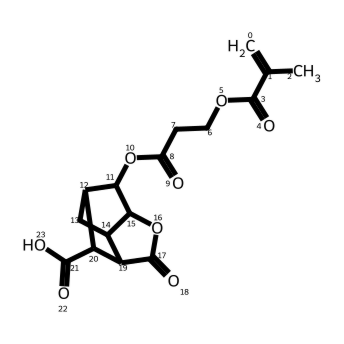 C=C(C)C(=O)OCCC(=O)OC1C2CC3C1OC(=O)C3C2C(=O)O